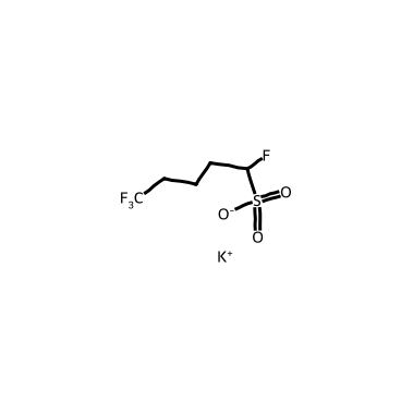 O=S(=O)([O-])C(F)CCCC(F)(F)F.[K+]